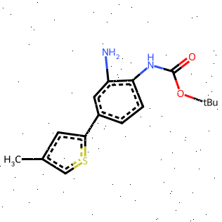 Cc1csc(-c2ccc(NC(=O)OC(C)(C)C)c(N)c2)c1